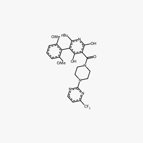 CCCCc1nc(O)c(C(=O)N2CCN(c3nccc(C(F)(F)F)n3)CC2)c(O)c1-c1c(OC)cccc1OC